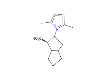 Cc1ccc(C)n1C1CC2CCCC2[C@H]1C(=O)O